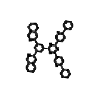 c1ccc(-c2ccc(-c3nc(-c4ccc(-c5ccccc5)nc4)nc(-c4cc(-c5cc6ccccc6cn5)cc(-c5cc6ccccc6cn5)c4)n3)cn2)cc1